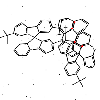 CC(C)(C)c1ccc2c(c1)C1(c3ccccc3Oc3ccc(-c4ccccc4N(c4ccc5c(c4)C4(c6ccccc6-5)c5cc(C(C)(C)C)ccc5-c5ccc(C(C)(C)C)cc54)c4ccccc4-c4ccccc4)cc31)c1cc(C(C)(C)C)ccc1-2